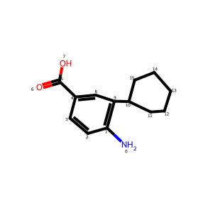 Nc1ccc(C(=O)O)cc1C1CCCCC1